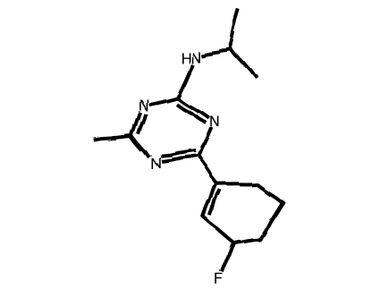 Cc1nc(NC(C)C)nc(C2=CC(F)CCC2)n1